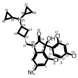 N#Cc1cc2c(c(C(F)(F)F)c1)C(O)(c1ccc(Cl)cc1Cl)C(=O)N2C[C@H]1C[C@H](N(C2CC2)C2CC2)C1